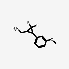 COc1cccc(C2C(CN)C2(F)F)c1